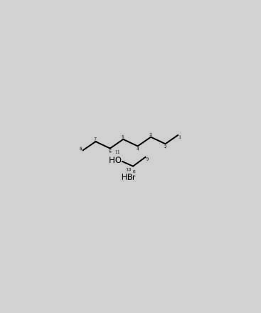 Br.CCCCCCCC.CCO